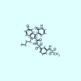 CS(=O)(=O)Nc1cccc(S(=O)(=O)NC(=O)c2c(-c3ccc[nH]c3=O)c3cc(Cl)ccc3n2CCCF)c1